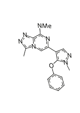 CNc1nc(-c2cnn(C)c2Oc2ccccc2)cn2c(C)nnc12